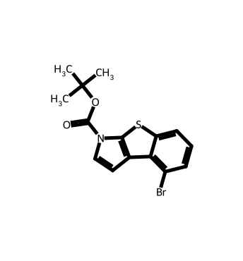 CC(C)(C)OC(=O)n1ccc2c3c(Br)cccc3sc21